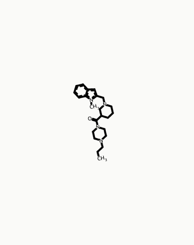 CCCN1CCN(C(=O)C2CCCN(Cc3cc4ccccc4n3C)C2)CC1